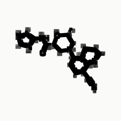 C[C@@H]1CN(c2ccc(C#N)c3ncccc23)C[C@H](C(=O)Nc2ncns2)O1